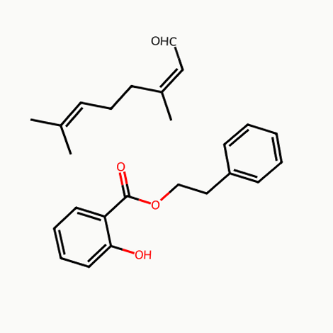 CC(C)=CCCC(C)=CC=O.O=C(OCCc1ccccc1)c1ccccc1O